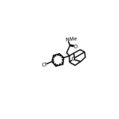 CNC(=O)CC1(c2ccc(Cl)cc2)C2CC3CC(C2)CC1C3